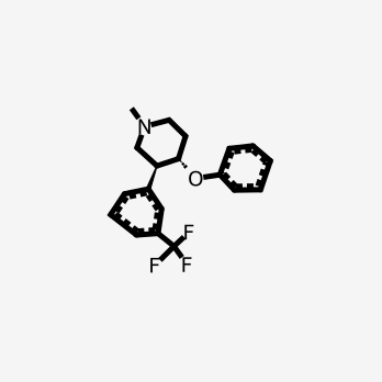 CN1CC[C@H](Oc2ccccc2)[C@@H](c2cccc(C(F)(F)F)c2)C1